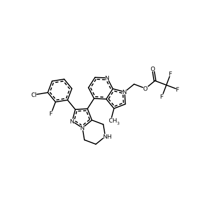 Cc1cn(COC(=O)C(F)(F)F)c2nccc(-c3c(-c4cccc(Cl)c4F)nn4c3CNCC4)c12